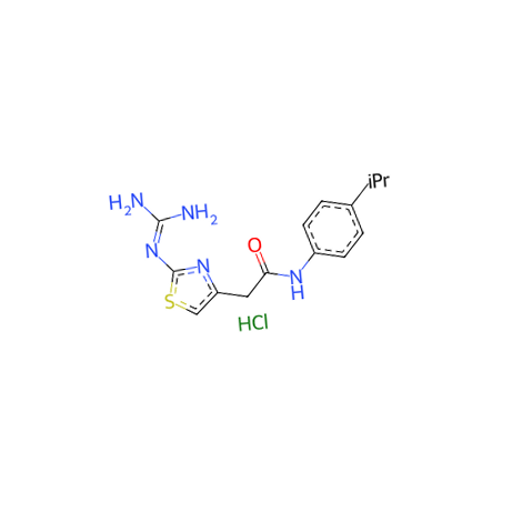 CC(C)c1ccc(NC(=O)Cc2csc(N=C(N)N)n2)cc1.Cl